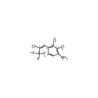 Nc1ccc(/C=C(/Cl)C(F)(F)F)c(Cl)c1Cl